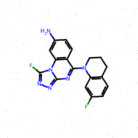 Nc1ccc2c(N3CCCc4ccc(F)cc43)nc3nnc(F)n3c2c1